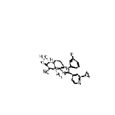 C[C@H]1C(=O)C(C#N)=C[C@@]2(C)c3nc(-c4ccnc(C5CC5)c4)n(-c4cccc(F)c4)c3CC[C@H]12